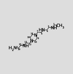 CCNCCNCCN1CCN(CCNCCN)CC1